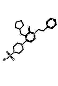 CC(C)S(=O)(=O)N1CCN(c2cnn(CCc3ccccc3)c(=O)c2OC2CCCC2)CC1